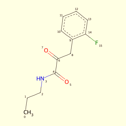 CCCNC(=O)C(=O)Cc1ccccc1F